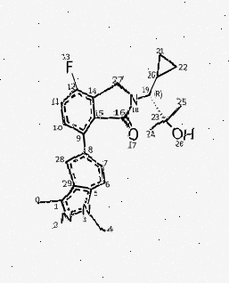 Cc1nn(C)c2ccc(-c3ccc(F)c4c3C(=O)N([C@H](C3CC3)C(C)(C)O)C4)cc12